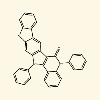 O=c1c2c3cc4c(cc3n(-c3ccccc3)c2c2ccccc2n1-c1ccccc1)sc1ccccc14